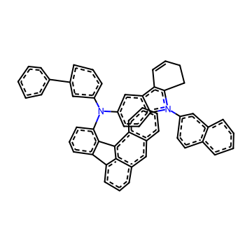 C1=Cc2c(n(-c3ccc4ccccc4c3)c3ccc(N(c4cccc(-c5ccccc5)c4)c4cccc5c4-c4c6ccccc6cc6cccc-5c46)cc23)CC1